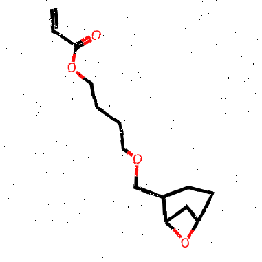 C=CC(=O)OCCCCOCC1CCC2CC1O2